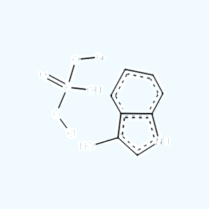 O=P(O)(OCl)OBr.Oc1c[nH]c2ccccc12